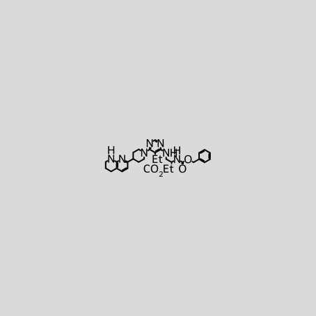 CCOC(=O)[C@@H](CNc1ncnc(N2CCC(c3ccc4c(n3)NCCC4)CC2)c1CC)NC(=O)OCc1ccccc1